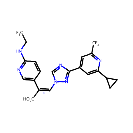 O=C(O)/C(=C/n1cnc(-c2cc(C3CC3)nc(C(F)(F)F)c2)n1)c1ccc(NCC(F)(F)F)nc1